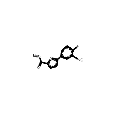 [C-]#[N+]c1cc(-c2ccc(C(=O)OC)s2)ccc1F